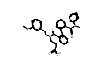 COc1cccc(CCN(CCC(=O)O)C(=O)c2ccccc2-c2ccccc2C(=O)N(C)c2ccco2)c1